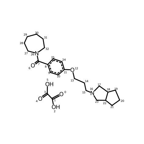 O=C(O)C(=O)O.O=C(c1ccc(OCCCN2CC3CCCC3C2)cc1)N1CCCCCC1